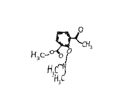 CCOC(=O)c1cccc(C(=O)CC)c1OCCN(CC)CC